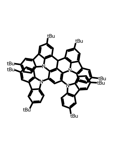 CC(C)(C)c1ccc2c(c1)c1cc(C(C)(C)C)ccc1n2-c1cc(-n2c3ccc(C(C)(C)C)cc3c3cc(C(C)(C)C)ccc32)c2c3c1-n1c4ccc(C(C)(C)C)cc4c4cc(C(C)(C)C)cc(c41)C3c1cc(C(C)(C)C)cc3c4cc(C(C)(C)C)ccc4n-2c13